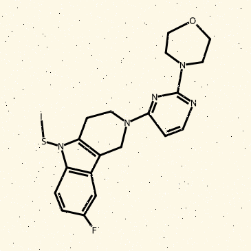 Fc1ccc2c(c1)c1c(n2SI)CCN(c2ccnc(N3CCOCC3)n2)C1